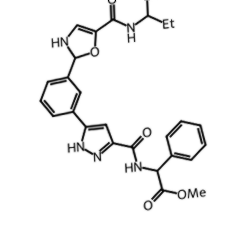 CCC(CC)NC(=O)C1=CNC(c2cccc(-c3cc(C(=O)NC(C(=O)OC)c4ccccc4)n[nH]3)c2)O1